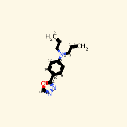 C=CCN(CC=C)c1ccc(-c2nnco2)cc1